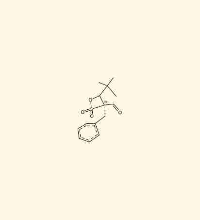 CC(C)(C)C1OS(=O)(=O)[C@@]1([C]=O)Cc1ccccc1